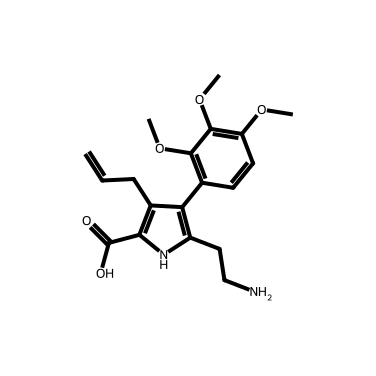 C=CCc1c(C(=O)O)[nH]c(CCN)c1-c1ccc(OC)c(OC)c1OC